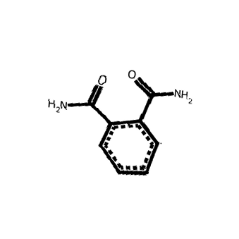 NC(=O)c1[c]cccc1C(N)=O